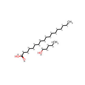 CCCCCCCCCCCCCCCCCC(=O)O.CCCCCO